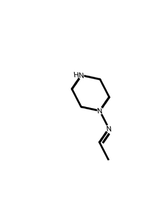 CC=NN1CCNCC1